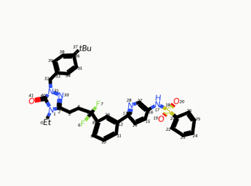 CCn1c(CCC(F)(F)c2cccc(-c3ccc(NS(=O)(=O)c4ccccc4)cn3)c2)nn(Cc2ccc(C(C)(C)C)cc2)c1=O